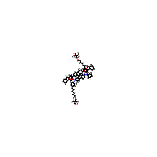 CCC1(COCCCCCCc2ccc(N(c3ccccc3)c3ccc4c(c3)C3(c5cc(-c6ccc7c(c6)Cc6ccccc6-7)ccc5-c5ccc(-c6ccc7c(c6)Cc6ccccc6-7)cc53)c3cc(N(c5ccccc5)c5ccc(CCCCCCOCC6(CC)COC6)cc5)ccc3-4)cc2)COC1